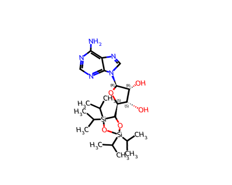 CC(C)[Si]1(C(C)C)OC([C@H]2O[C@@H](n3cnc4c(N)ncnc43)[C@H](O)[C@@H]2O)[Si](C(C)C)(C(C)C)O1